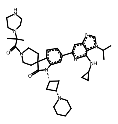 CC(C)n1cnc2cc(-c3ccc4c(c3)N([C@H]3C[C@@H](N5CCCCC5)C3)C(=O)C43CCN(C(=O)C(C)(C)N4CCNCC4)CC3)nc(NC3CC3)c21